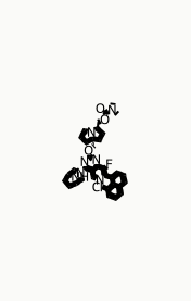 CN(C)C(=O)OC[C@H]1CC[C@@]2(COc3nc(N4CC5CCC(C4)N5)c4cnc(-c5cccc6cccc(Cl)c56)c(F)c4n3)CCCN12